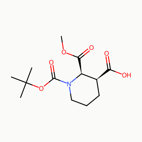 COC(=O)[C@H]1[C@@H](C(=O)O)CCCN1C(=O)OC(C)(C)C